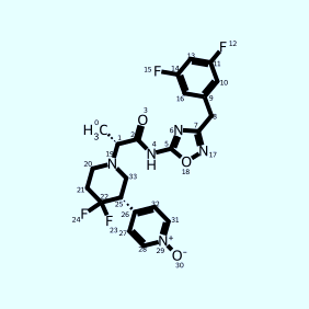 C[C@H](C(=O)Nc1nc(Cc2cc(F)cc(F)c2)no1)N1CCC(F)(F)[C@@H](c2cc[n+]([O-])cc2)C1